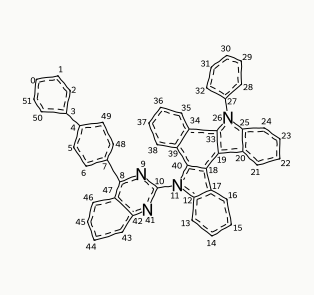 c1ccc(-c2ccc(-c3nc(-n4c5ccccc5c5c6c7ccccc7n(-c7ccccc7)c6c6ccccc6c54)nc4ccccc34)cc2)cc1